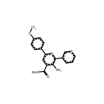 COC(=O)c1cc(-c2ccc(OC(F)(F)F)cc2)nc(-c2cccnc2)c1N